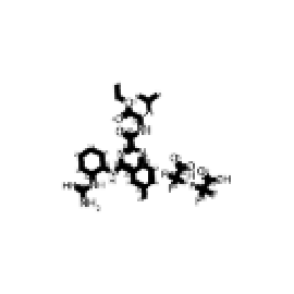 CCOC(=O)[C@H](CC(C)C)NC(=O)c1nc(NC2CCCCC2NC(=N)N)c2cc(C)ccc2n1.O=C(O)C(F)(F)F.O=C(O)C(F)(F)F